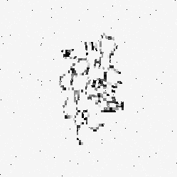 C=Cc1c(/C=C\C)oc2c1ccc1c3ccccc3n(-c3cc(C#N)ccc3-c3ccc(C#N)c(C#N)c3-n3c4ccccc4c4ccc5c6ccccc6oc5c43)c12